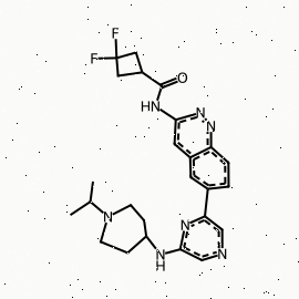 CC(C)N1CCC(Nc2cncc(-c3ccc4nnc(NC(=O)C5CC(F)(F)C5)cc4c3)n2)CC1